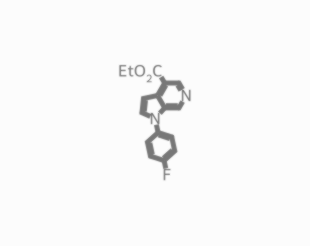 CCOC(=O)c1cncc2c1ccn2-c1ccc(F)cc1